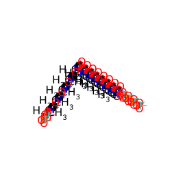 C[N+]1(C)CCC(=O)CC1.C[N+]1(C)CCC(=O)CC1.C[N+]1(C)CCC(=O)CC1.C[N+]1(C)CCC(=O)CC1.C[N+]1(C)CCC(=O)CC1.C[N+]1(C)CCC(=O)CC1.C[N+]1(C)CCC(=O)CC1.C[N+]1(C)CCC(=O)CC1.C[N+]1(C)CCC(=O)CC1.C[N+]1(C)CCC(=O)CC1.C[N+]1(C)CCC(=O)CC1.C[N+]1(C)CCC(=O)CC1.O=P([O-])([O-])F.O=P([O-])([O-])F.O=P([O-])([O-])F.O=P([O-])([O-])F.O=P([O-])([O-])F.O=P([O-])([O-])F